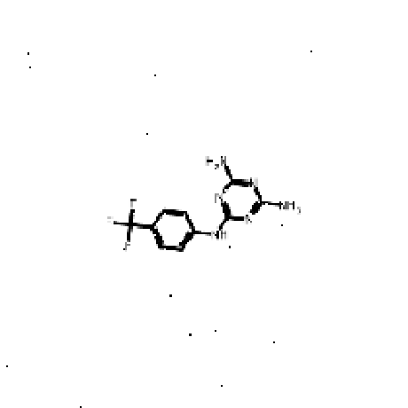 Nc1nc(N)nc(Nc2ccc(C(F)(F)F)cc2)n1